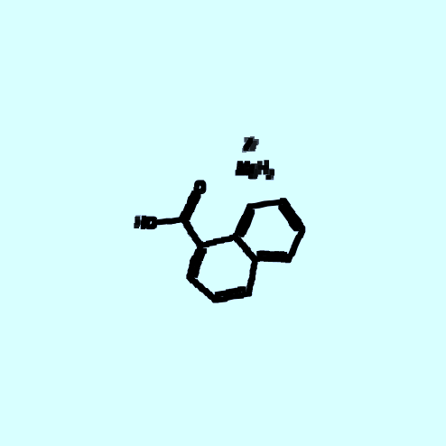 O=C(O)c1cccc2ccccc12.[MgH2].[Zr]